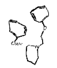 COc1ccccc1.c1ccc(OCCN2CCCCC2)cc1